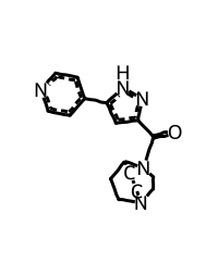 O=C(c1cc(-c2ccncc2)[nH]n1)N1CCN2CCC1CC2